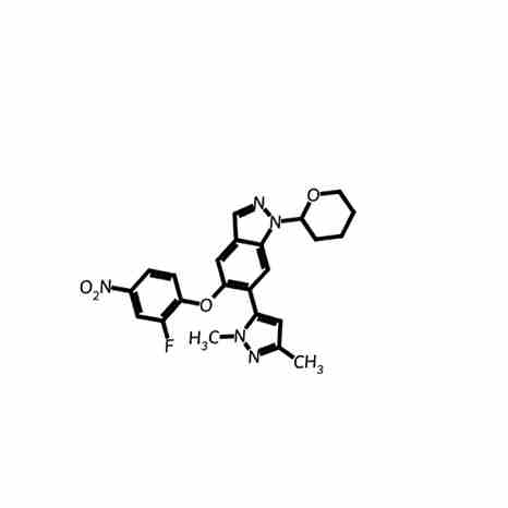 Cc1cc(-c2cc3c(cnn3C3CCCCO3)cc2Oc2ccc([N+](=O)[O-])cc2F)n(C)n1